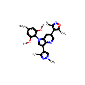 CCOc1cc(C(=O)O)cc(OCC)c1-n1cc(-c2cn(C)nc2C)c2ncc(-c3c(C)noc3C)cc21